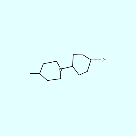 CC1CCN(C2CCC(C(C)C)CC2)CC1